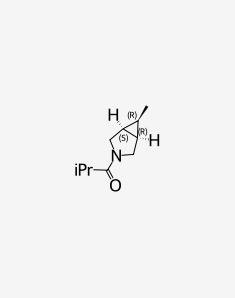 CC(C)C(=O)N1C[C@@H]2[C@H](C)[C@@H]2C1